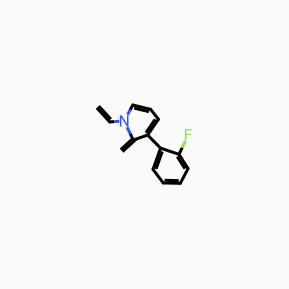 C=CN1C=CC=C(c2ccccc2F)C1=C